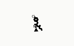 C=C(CCC)c1c(Cc2ccc(Cl)cc2)cnn1C1CC1